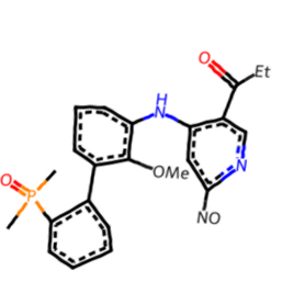 CCC(=O)c1cnc(N=O)cc1Nc1cccc(-c2ccccc2P(C)(C)=O)c1OC